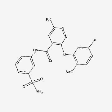 COc1ccc(F)cc1Oc1nnc(C(F)(F)F)cc1C(=O)Nc1cccc(S(N)(=O)=O)c1